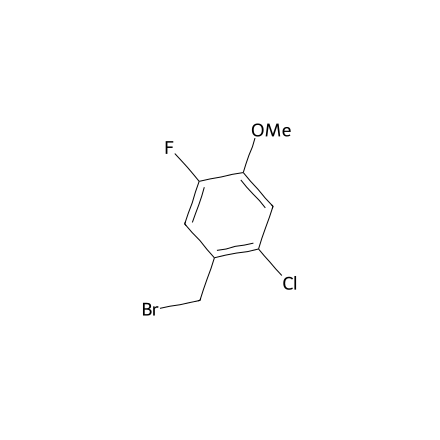 COc1cc(Cl)c(CBr)cc1F